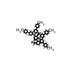 Cc1ccc(-c2ccc3c(c2)c2cc(-c4ccc(C)cc4)ccc2n3-c2ccc(-c3ccccc3C(F)(F)F)c(-n3c4ccc(-c5ccc(C)cc5)cc4c4cc(-c5ccc(C)cc5)ccc43)c2C#N)cc1